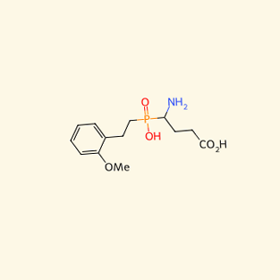 COc1ccccc1CCP(=O)(O)C(N)CCC(=O)O